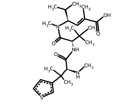 CN[C@H](C(=O)N[C@H](C(=O)N(C)[C@H](/C=C(\C)C(=O)O)C(C)C)C(C)(C)C)C(C)(C)c1ccsc1